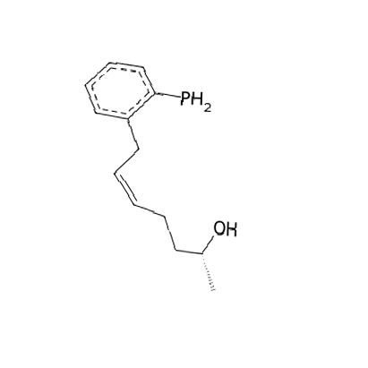 C[C@@H](O)CC/C=C\Cc1ccccc1P